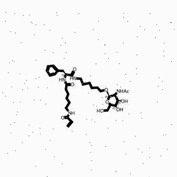 C=CC(=O)NCCCCCC(=O)N[C@@H](Cc1ccccc1)C(=O)NCCCCCCO[C@@H]1OC(CO)[C@@H](O)[C@H](O)C1NC(C)=O